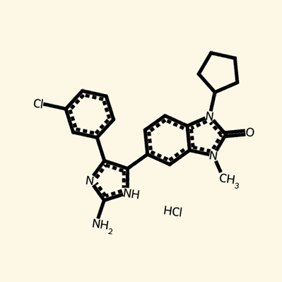 Cl.Cn1c(=O)n(C2CCCC2)c2ccc(-c3[nH]c(N)nc3-c3cccc(Cl)c3)cc21